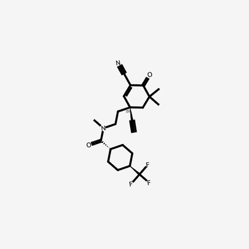 C#C[C@@]1(CCN(C)C(=O)[C@H]2CC[C@H](C(F)(F)F)CC2)C=C(C#N)C(=O)C(C)(C)C1